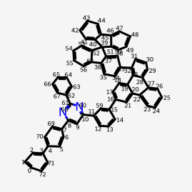 c1ccc(-c2ccc(-c3cc(-c4cccc(-c5ccc6c(c5)c5ccccc5c5cccc(-c7ccc8c(c7)C7(c9ccccc9-c9ccccc97)c7ccccc7-8)c56)c4)nc(-c4ccccc4)n3)cc2)cc1